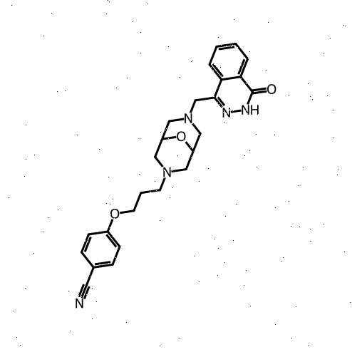 N#Cc1ccc(OCCCN2CC3CN(Cc4n[nH]c(=O)c5ccccc45)CC(C2)O3)cc1